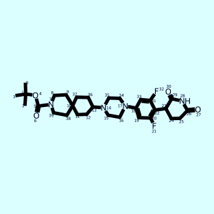 CC(C)(C)OC(=O)N1CCC2(CCC(N3CCN(c4cc(F)c(C5CCC(=O)NC5=O)c(F)c4)CC3)CC2)CC1